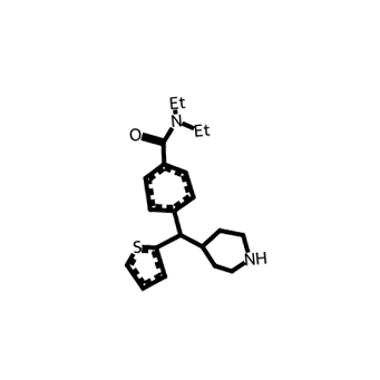 CCN(CC)C(=O)c1ccc(C(c2cccs2)C2CCNCC2)cc1